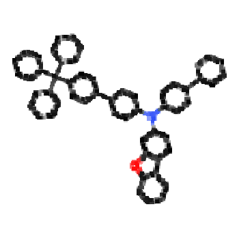 c1ccc(-c2ccc(N(c3ccc(-c4ccc(C(c5ccccc5)(c5ccccc5)c5ccccc5)cc4)cc3)c3ccc4c(c3)oc3ccccc34)cc2)cc1